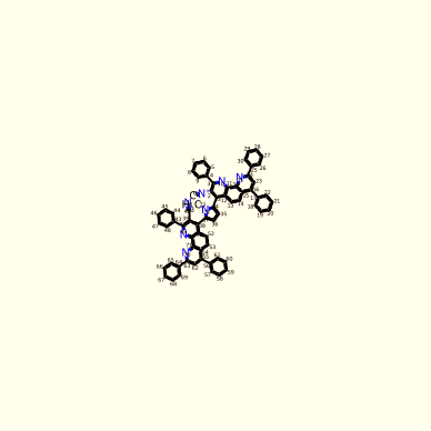 [C-]#[N+]c1c(-c2ccccc2)nc2c(ccc3c(-c4ccccc4)cc(-c4ccccc4)nc32)c1-c1ccc(-c2c(C#N)c(-c3ccccc3)nc3c2ccc2c(-c4ccccc4)cc(-c4ccccc4)nc23)n1C